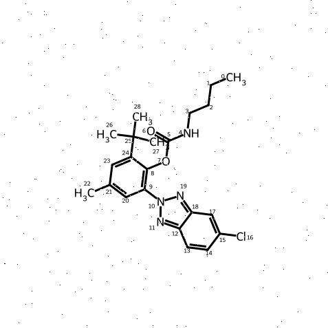 CCCCNC(=O)Oc1c(-n2nc3ccc(Cl)cc3n2)cc(C)cc1C(C)(C)C